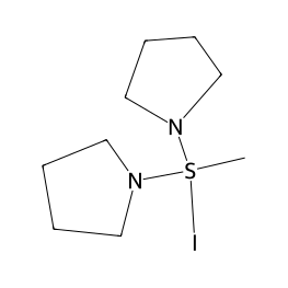 CS(I)(N1CCCC1)N1CCCC1